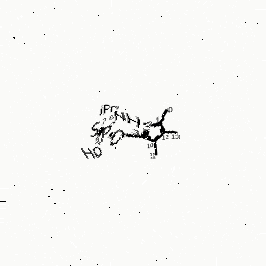 Cc1sc(OP(O)(=S)NC(C)C)c(C)c1C